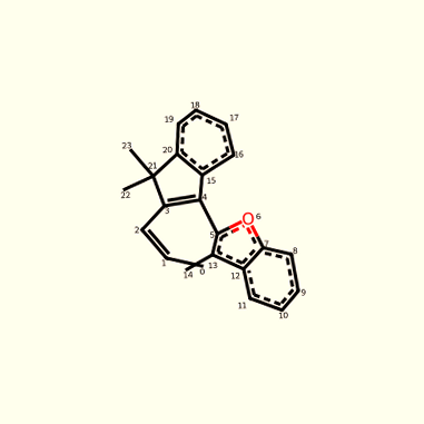 C/C=C\C1=C(c2oc3ccccc3c2C)c2ccccc2C1(C)C